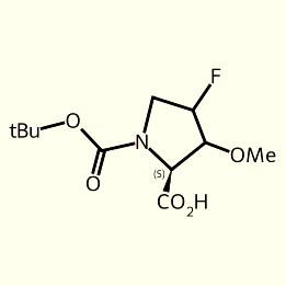 COC1C(F)CN(C(=O)OC(C)(C)C)[C@@H]1C(=O)O